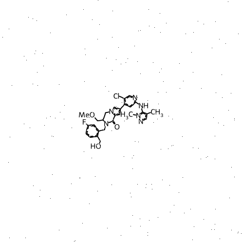 COCC1Cn2cc(-c3cc(Nc4c(C)cnn4C)ncc3Cl)cc2C(=O)N1Cc1cc(F)ccc1CO